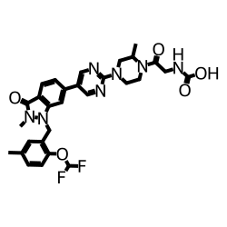 Cc1ccc(OC(F)F)c(Cn2c3cc(-c4cnc(N5CCN(C(=O)CNC(=O)O)C(C)C5)nc4)ccc3c(=O)n2C)c1